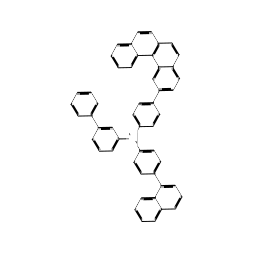 c1ccc(-c2cccc(N(c3ccc(-c4ccc5ccc6ccc7ccccc7c6c5c4)cc3)c3ccc(-c4cccc5ccccc45)cc3)c2)cc1